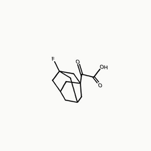 O=C(O)C(=O)C12CC3CC(CC(F)(C3)C1)C2